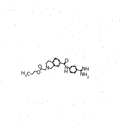 CCCOC(=O)CN1CCc2ccc(C(=O)Nc3ccc(C(=N)N)cc3)cc2C1